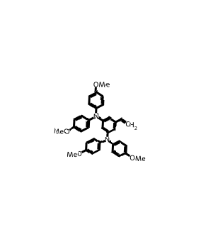 C=Cc1cc(N(c2ccc(OC)cc2)c2ccc(OC)cc2)cc(N(c2ccc(OC)cc2)c2ccc(OC)cc2)c1